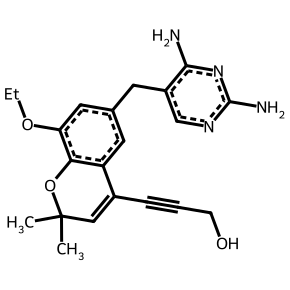 CCOc1cc(Cc2cnc(N)nc2N)cc2c1OC(C)(C)C=C2C#CCO